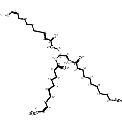 CCCCCC/C=C\CCCCCCCC(=O)OC[C@H](COC(=O)CCCCCCCCCCCCCCCCCCC)OC(=O)CCCCCCC/C=C\CCCCCCCC